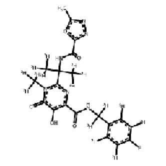 [2H]c1c([2H])c(C([2H])([2H])NC(=O)c2nc(C(NC(=O)c3nnc(C)o3)(C([2H])([2H])[2H])C([2H])([2H])[2H])n(C([2H])([2H])[2H])c(=O)c2O)c([2H])c([2H])c1F